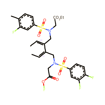 C/C=C(CN(CC(=O)OF)S(=O)(=O)c1ccc(F)c(F)c1)\C(=C/C)CN(CC(=O)OCC)S(=O)(=O)c1ccc(C)c(F)c1